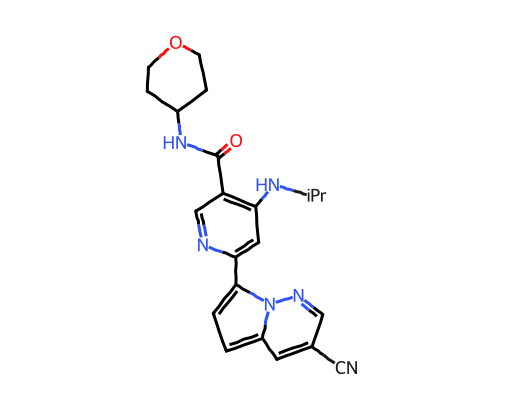 CC(C)Nc1cc(-c2ccc3cc(C#N)cnn23)ncc1C(=O)NC1CCOCC1